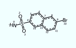 [NH]S(=O)(=O)c1ccc2cc(Br)ccc2c1